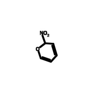 O=[N+]([O-])C1C=CC=CO1